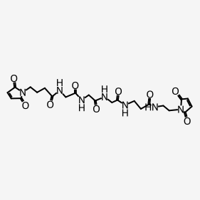 O=C(CCNC(=O)CNC(=O)CNC(=O)CNC(=O)CCCN1C(=O)C=CC1=O)NCCN1C(=O)C=CC1=O